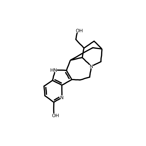 OCC1CC2CC3c4[nH]c5ccc(O)nc5c4CCN(C2)C13